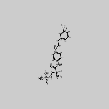 C[C@](N)(COP(=O)(O)O)C(=O)Nc1ccc(OCCc2cccc(C(F)(F)F)c2)cc1